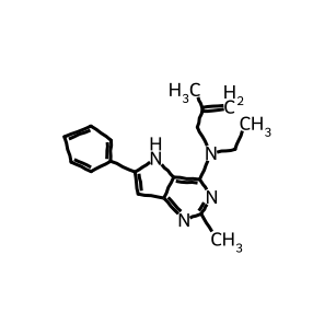 C=C(C)CN(CC)c1nc(C)nc2cc(-c3ccccc3)[nH]c12